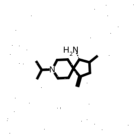 C=C1CC(C)[C@@H](N)C12CCN(C(C)C)CC2